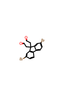 O=CCC1(CC=O)c2cc(Br)ccc2-c2ccc(Br)cc21